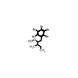 CCC(C)C(Cc1c(Br)c(Br)c(Br)c(Br)c1Br)OO